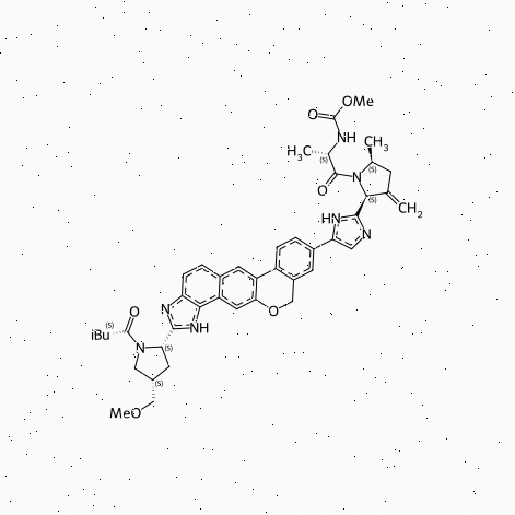 C=C1C[C@H](C)N(C(=O)[C@H](C)NC(=O)OC)[C@@H]1c1ncc(-c2ccc3c(c2)COc2cc4c(ccc5nc([C@@H]6C[C@H](COC)CN6C(=O)[C@@H](C)CC)[nH]c54)cc2-3)[nH]1